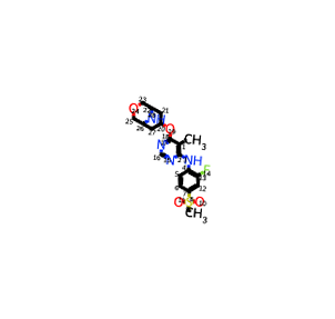 Cc1c(Nc2ccc(S(C)(=O)=O)cc2F)ncnc1OC1CC2COCC(C1)N2